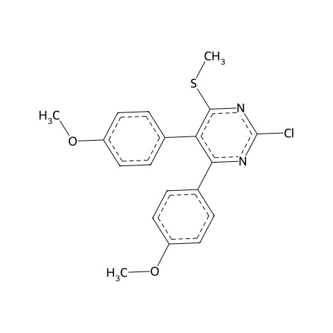 COc1ccc(-c2nc(Cl)nc(SC)c2-c2ccc(OC)cc2)cc1